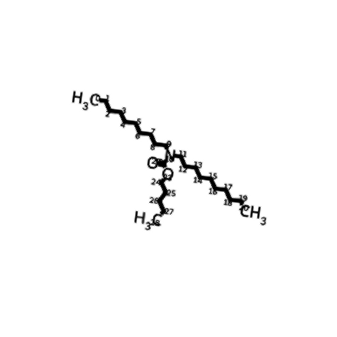 CCCCCCCCCCN(CCCCCCCCCC)C(=O)OCCCCC